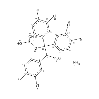 CCCCC(c1ccc(C)c(Cl)c1)C(OB(O)O)(c1ccc(C)c(Cl)c1)c1ccc(C)c(Cl)c1.N